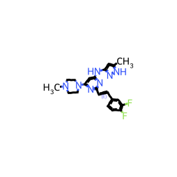 Cc1cc(Nc2cc(N3CCN(C)CC3)nc(/C=C/c3ccc(F)c(F)c3)n2)n[nH]1